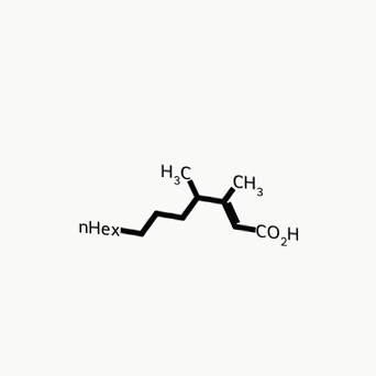 CCCCCCCCCC(C)/C(C)=C/C(=O)O